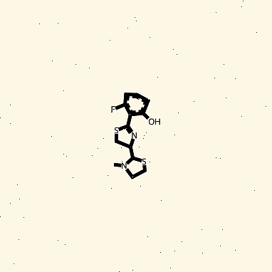 CN1CCSC1C1CSC(c2c(O)cccc2F)=N1